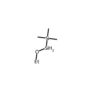 CCO[SiH2][Si](C)(C)C